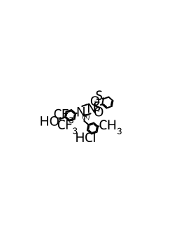 Cc1cccc(C[C@@H]2CN(S(=O)(=O)C3=CC=CCC3=S)CCN2c2ccc(C(O)(C(F)(F)F)C(F)(F)F)cc2)c1.Cl